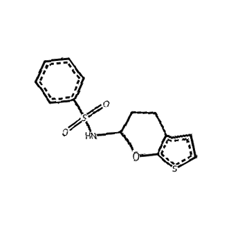 O=S(=O)(NC1CCc2ccsc2O1)c1ccccc1